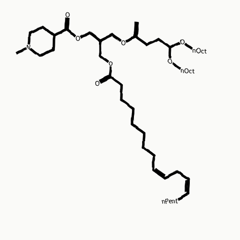 C=C(CCC(OCCCCCCCC)OCCCCCCCC)OCC(COC(=O)CCCCCCC/C=C\C/C=C\CCCCC)COC(=O)C1CCN(C)CC1